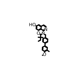 CCC(C)(C)C(=O)N(Cc1ccc(-c2ccc(OC)c(C)c2)cc1)c1nccc2cc(O)ccc12